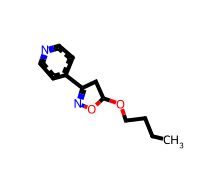 CCCCOC1CC(c2ccncc2)=NO1